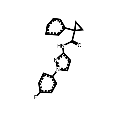 O=C(Nc1ccn(-c2ccc(F)cc2)n1)C1(c2ccccc2)CC1